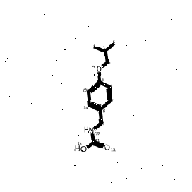 CC(C)COc1ccc(CNC(=O)O)cc1